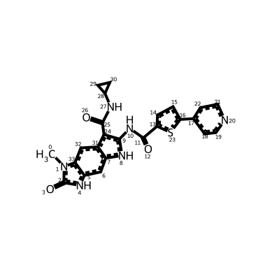 Cn1c(=O)[nH]c2cc3[nH]c(NC(=O)c4ccc(-c5ccncc5)s4)c(C(=O)NC4CC4)c3cc21